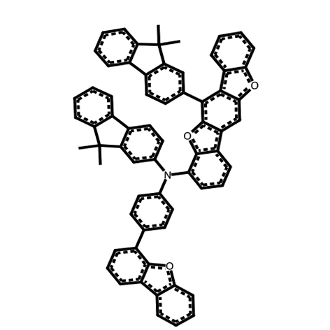 CC1(C)c2ccccc2-c2ccc(-c3c4oc5c(N(c6ccc(-c7cccc8c7oc7ccccc78)cc6)c6ccc7c(c6)C(C)(C)c6ccccc6-7)cccc5c4cc4oc5ccccc5c34)cc21